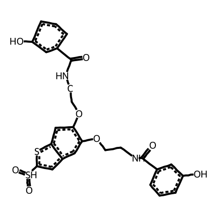 O=C(NCCOc1cc2cc([SH](=O)=O)sc2cc1OCCNC(=O)c1cccc(O)c1)c1cccc(O)c1